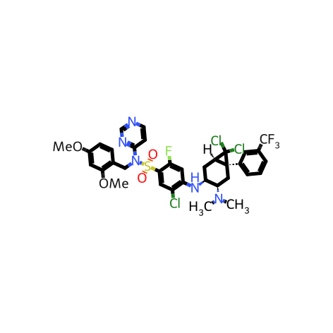 COc1ccc(CN(c2ccncn2)S(=O)(=O)c2cc(Cl)c(N[C@H]3C[C@H]4C(Cl)(Cl)[C@@]4(c4cccc(C(F)(F)F)c4)C[C@@H]3N(C)C)cc2F)c(OC)c1